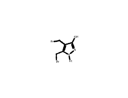 CCn1nc(O)c(CC(C)C)c1CC(C)C